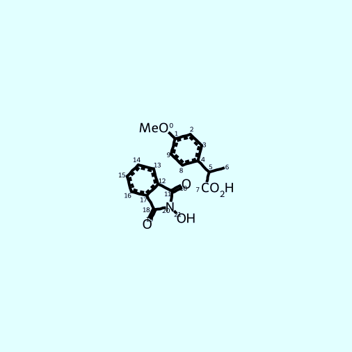 COc1ccc(C(C)C(=O)O)cc1.O=C1c2ccccc2C(=O)N1O